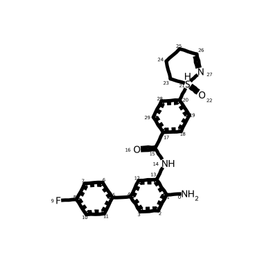 Nc1ccc(-c2ccc(F)cc2)cc1NC(=O)c1ccc([SH]2(=O)CCCC=N2)cc1